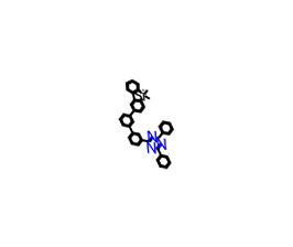 C[Si]1(C)c2ccccc2-c2cc(-c3cccc(-c4cccc(-c5nc(-c6ccccc6)nc(-c6ccccc6)n5)c4)c3)ccc21